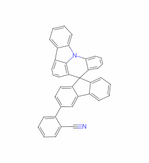 N#Cc1ccccc1-c1ccc2c(c1)-c1ccccc1C21c2ccccc2-n2c3ccccc3c3cccc1c32